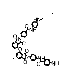 CNc1ccc(NC(=O)c2ccc(N3C(=O)c4cccc(Oc5cccc6c5C(=O)N(c5ccc(NC(=O)c7ccc(NC)cc7)cc5)C6=O)c4C3=O)cc2)cc1